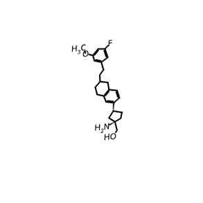 COc1cc(F)cc(CCC2CCc3cc([C@H]4CC[C@](N)(CO)C4)ccc3C2)c1